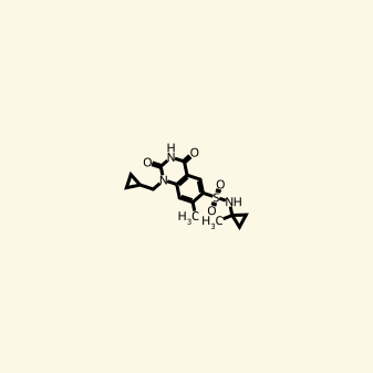 Cc1cc2c(cc1S(=O)(=O)NC1(C)CC1)c(=O)[nH]c(=O)n2CC1CC1